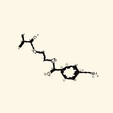 C=C(C)C(=O)OCCOC(=O)c1ccc(N)cc1